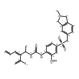 C=C/C=C(\C(=C)F)C(C)NC(=O)Nc1ccc(S(=O)(=O)Cc2ccc3c(c2)CN(C)C3)cc1OC